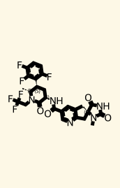 C[C@@H]1[C@H](c2c(F)ccc(F)c2F)C[C@H](NC(=O)c2cnc3c(c2)C[C@]2(C3)C(=O)NC(=O)N2C)C(=O)N1CC(F)(F)F